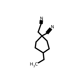 CCC1CCC(C#N)(CC#N)CC1